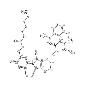 CCCCCOC(=O)COc1cc(N2C(=O)C3=C(CCCC3)C2=O)c(F)cc1Cl.CCc1cccc(CC)c1N(COC)C(=O)CCl